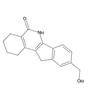 O=c1[nH]c2c(c3c1CCCC3)Cc1cc(CO)ccc1-2